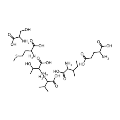 CC(C)C(N)C(=O)O.CC(O)C(N)C(=O)O.CCC(C)C(N)C(=O)O.CSCCC(N)C(=O)O.NC(CCC(=O)O)C(=O)O.NC(CO)C(=O)O